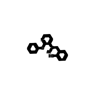 CC(=O)N(Cc1ccccc1O)c1cccnc1Oc1ccccc1